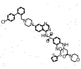 O=C(CC(CSc1cccs1)Nc1ccc(S(=O)(=O)Nc2ncnc3cc(N4CCN(Cc5ccccc5-c5ccc(Cl)cc5)CC4)ccc23)cc1[N+](=O)[O-])N1CCOCC1